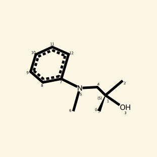 [CH2][C@@](C)(O)CN(C)c1ccccc1